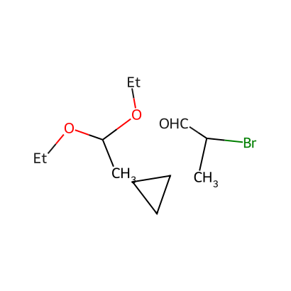 C1CC1.CC(Br)C=O.CCOC(C)OCC